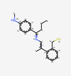 CCC/C(=N\C=C(/C)c1ccccc1CS)c1ccc(NC)cc1